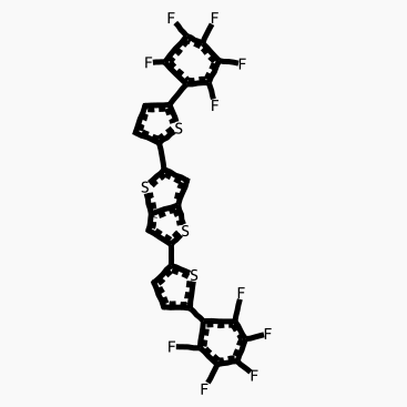 Fc1c(F)c(F)c(-c2ccc(-c3cc4sc(-c5ccc(-c6c(F)c(F)c(F)c(F)c6F)s5)cc4s3)s2)c(F)c1F